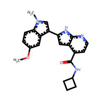 COc1ccc2c(c1)c(-c1cc3c(C(=O)NC4CCC4)ccnc3[nH]1)cn2C